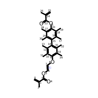 C=C(C)C(=O)O/C=C/Oc1c(C)c(C)c(-c2c(C)c(C)c(OC(=O)C(=C)C)c(C)c2C)c(C)c1C